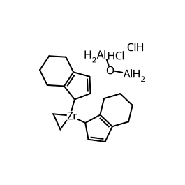 C1=C[CH]([Zr]2([CH]3C=CC4=C3CCCC4)[CH2][CH2]2)C2=C1CCCC2.Cl.Cl.[AlH2][O][AlH2]